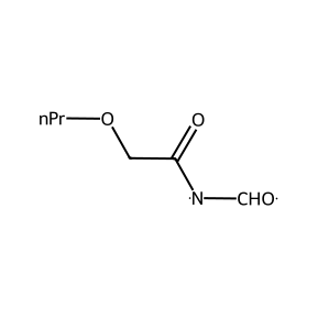 CCCOCC(=O)[N][C]=O